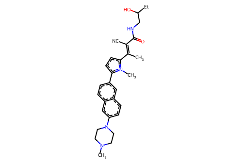 CCC(O)CNC(=O)/C(C#N)=C(\C)c1ccc(-c2ccc3cc(N4CCN(C)CC4)ccc3c2)n1C